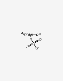 O=[N+]([O-])O.[Ag+].[Ag+].[O]=[Cr](=[O])([O-])[O-]